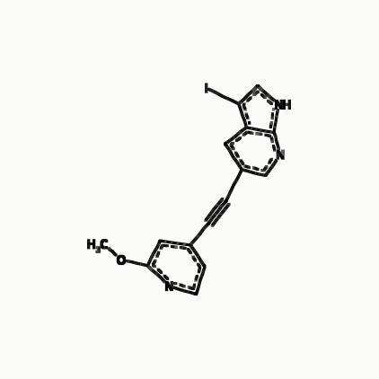 COc1cc(C#Cc2cnc3[nH]cc(I)c3c2)ccn1